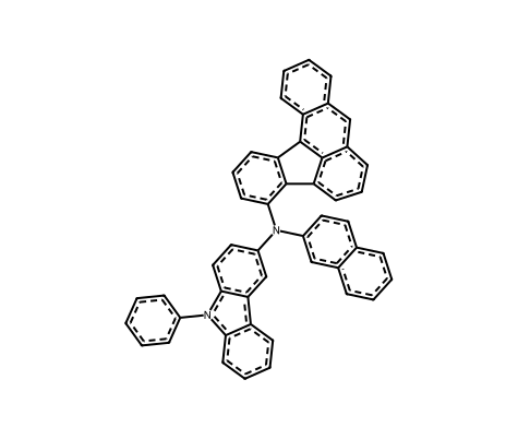 c1ccc(-n2c3ccccc3c3cc(N(c4ccc5ccccc5c4)c4cccc5c4-c4cccc6cc7ccccc7c-5c46)ccc32)cc1